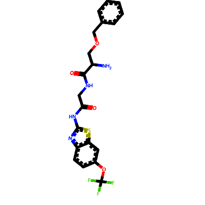 NC(COCc1ccccc1)C(=O)NCC(=O)Nc1nc2ccc(OC(F)(F)F)cc2s1